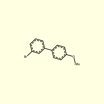 CCCCOc1ccc(-c2cccc(Br)c2)cc1